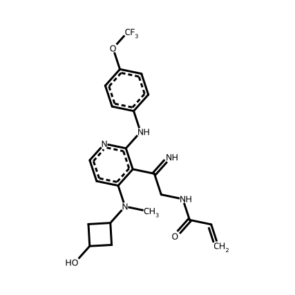 C=CC(=O)NCC(=N)c1c(N(C)C2CC(O)C2)ccnc1Nc1ccc(OC(F)(F)F)cc1